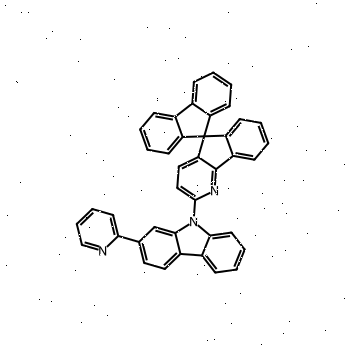 c1ccc(-c2ccc3c4ccccc4n(-c4ccc5c(n4)-c4ccccc4C54c5ccccc5-c5ccccc54)c3c2)nc1